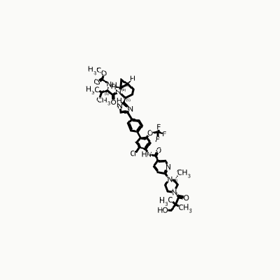 COC(=O)N[C@H](C(=O)N1[C@@H]2C[C@@H]2CC[C@H]1c1nc(-c2ccc(-c3cc(Cl)c(NC(=O)c4ccc(N5CCN(C(=O)C(C)(C)CO)C[C@H]5C)nc4)cc3OC(F)(F)F)cc2)c[nH]1)C(C)C